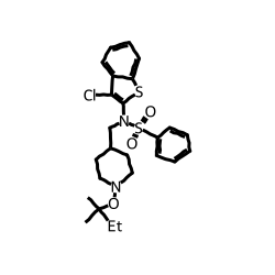 CCC(C)(C)ON1CCC(CN(c2sc3ccccc3c2Cl)S(=O)(=O)c2ccccc2)CC1